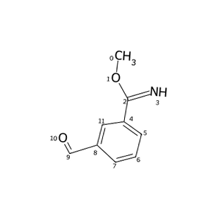 COC(=N)c1cccc(C=O)c1